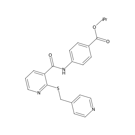 CC(C)OC(=O)c1ccc(NC(=O)c2cccnc2SCc2ccncc2)cc1